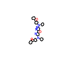 c1ccc(N(c2ccc3c(c2)oc2ccccc23)c2cnc3c(c2)oc2cc(N(c4ccccc4)c4ccc5c(c4)oc4ccccc45)nnc23)cc1